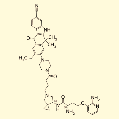 CCc1cc2c(cc1N1CCN(C(=O)CCCN3C[C@H](NC(=O)[C@@H](N)CCOc4cccnc4N)C4(CC4)C3)CC1)C(C)(C)c1[nH]c3cc(C#N)ccc3c1C2=O